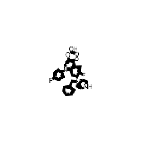 O=C(O)Oc1cn(-c2ccc(F)cc2)c2cc([N+]3(Cc4ccccc4)CC4CC3CN4)c(F)cc2c1=O